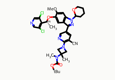 COc1cc2c(cc1O[C@H](C)c1c(Cl)cncc1Cl)c(-c1cnc(N3CC(C)(N(C)C(=O)OC(C)(C)C)C3)c(C#N)c1)nn2C1CCCCO1